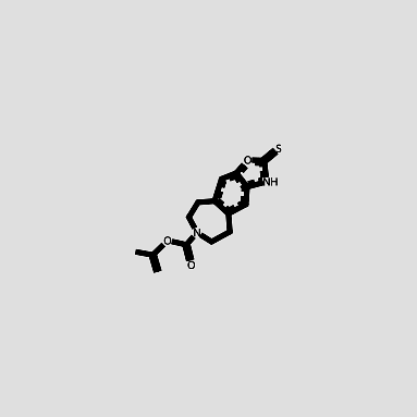 C=C(C)OC(=O)N1CCc2cc3[nH]c(=S)oc3cc2CC1